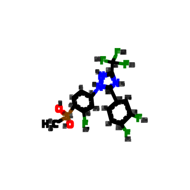 CS(=O)(=O)c1ccc(-n2nc(C(F)(F)F)nc2-c2ccc(F)c(F)c2)cc1F